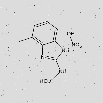 Cc1cccc2[nH]c(NC(=O)O)nc12.O=[N+]([O-])O